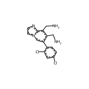 NCc1c(-c2ccc(Cl)cc2Cl)cn2ccnc2c1CN